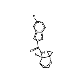 O=C(N[C@H]1C2CCN(CC2)C12CC2)c1cc2ccc(F)cc2s1